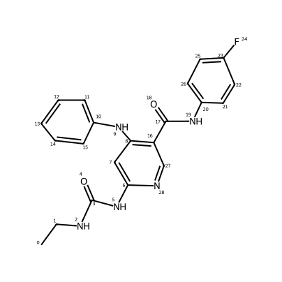 CCNC(=O)Nc1cc(Nc2ccccc2)c(C(=O)Nc2ccc(F)cc2)cn1